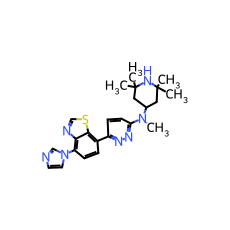 CN(c1ccc(-c2ccc(-n3ccnc3)c3ncsc23)nn1)C1CC(C)(C)NC(C)(C)C1